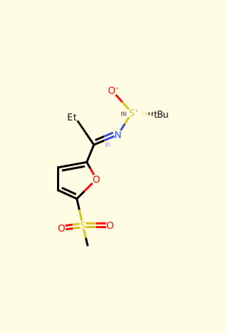 CC/C(=N\[S@+]([O-])C(C)(C)C)c1ccc(S(C)(=O)=O)o1